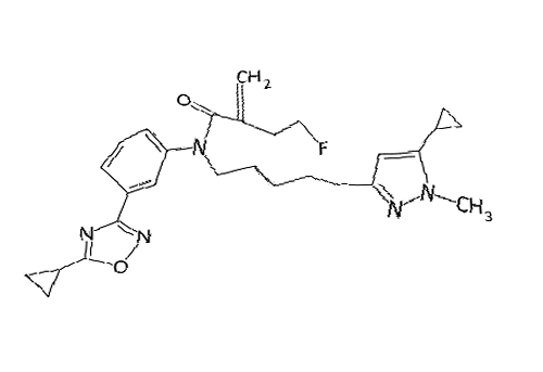 C=C(CCF)C(=O)N(CCCCCc1cc(C2CC2)n(C)n1)c1cccc(-c2noc(C3CC3)n2)c1